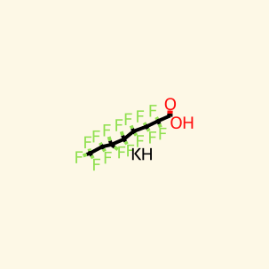 O=C(O)C(F)(F)C(F)(F)C(F)(F)C(F)(F)C(F)(F)C(F)(F)C(F)(F)F.[KH]